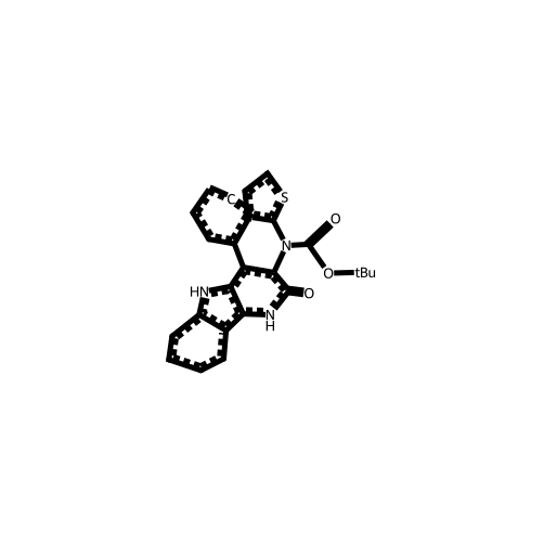 CC(C)(C)OC(=O)N(c1nccs1)c1c(-c2ccccc2)c2[nH]c3ccccc3c2[nH]c1=O